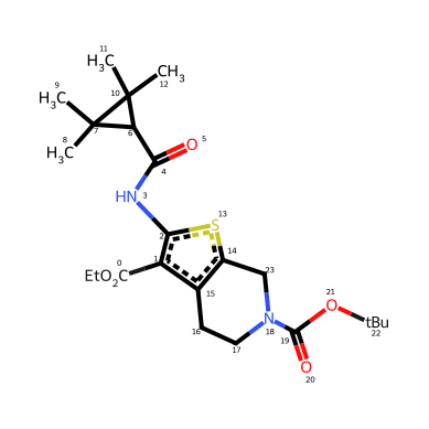 CCOC(=O)c1c(NC(=O)C2C(C)(C)C2(C)C)sc2c1CCN(C(=O)OC(C)(C)C)C2